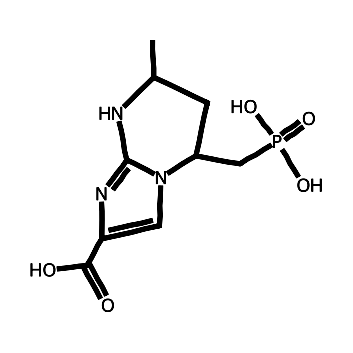 CC1CC(CP(=O)(O)O)n2cc(C(=O)O)nc2N1